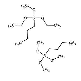 CCO[Si](CCCN)(OC)OCC.CO[Si](CCCN)(OC)OC